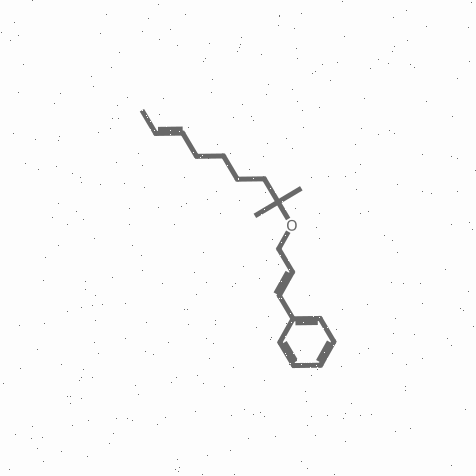 CC=CCCCCC(C)(C)OCC=Cc1ccccc1